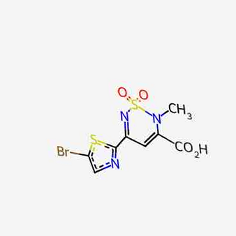 CN1C(C(=O)O)=CC(c2ncc(Br)s2)=NS1(=O)=O